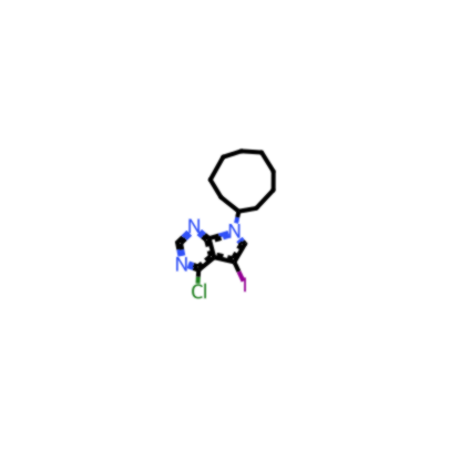 Clc1ncnc2c1c(I)cn2C1CCCCCCCC1